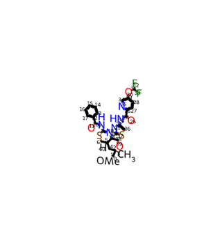 COC[C@@]1(C)C[C@H]2CSC(NC(=O)c3ccccc3)=N[C@@]2(c2nc(NC(=O)c3ccc(OC(F)F)cn3)cs2)CO1